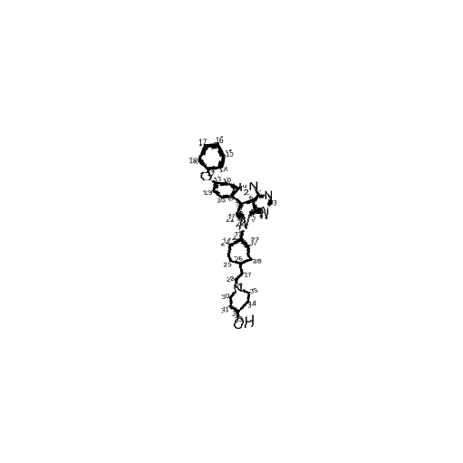 Nc1ncnc2c1c(-c1ccc(Oc3ccccc3)cc1)cn2C1CCC(CCN2CCC(O)CC2)CC1